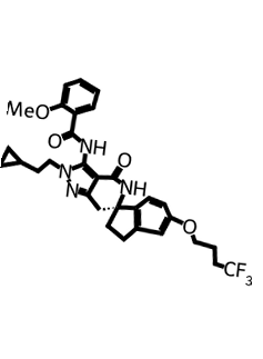 COc1ccccc1C(=O)Nc1c2c(nn1CCC1CC1)C[C@]1(CCc3cc(OCCCC(F)(F)F)ccc31)NC2=O